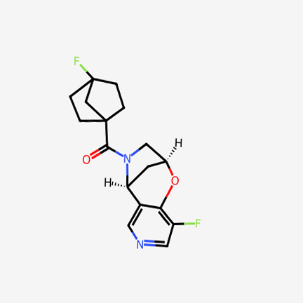 O=C(N1C[C@@H]2C[C@H]1c1cncc(F)c1O2)C12CCC(F)(CC1)C2